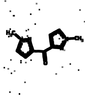 Cn1ccc(C(=O)c2ccn(C)n2)n1